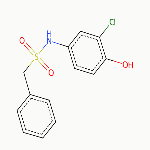 O=S(=O)(Cc1ccccc1)Nc1ccc(O)c(Cl)c1